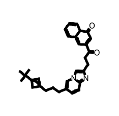 CC(C)(C)C12CC(CCCc3ccc4nc(CCC(=O)C5=CC(=O)C6C=CC=CC6=C5)cn4c3)(C1)C2